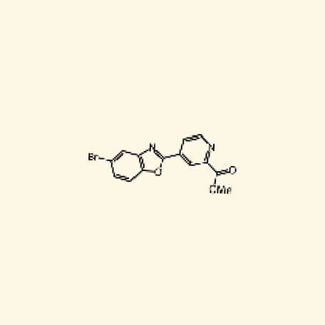 COC(=O)c1cc(-c2nc3cc(Br)ccc3o2)ccn1